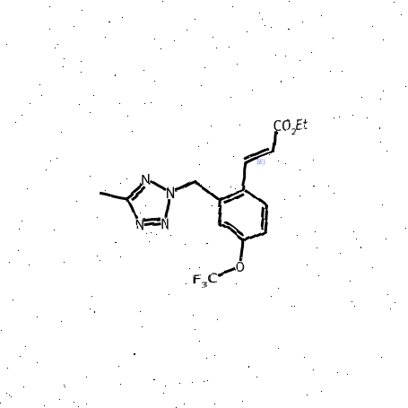 CCOC(=O)/C=C/c1ccc(OC(F)(F)F)cc1Cn1nnc(C)n1